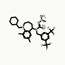 Cc1cc(C)c2c(c1)C(N(Cc1cc(C(F)(F)F)cc(C(F)(F)F)c1)/C(N)=N/N(C)N)CCCN2CC1CCCCC1